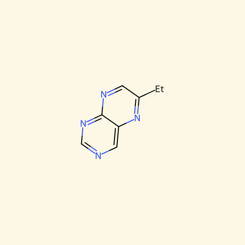 CCc1cnc2ncncc2n1